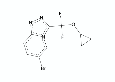 FC(F)(OC1CC1)c1nnc2ccc(Br)cn12